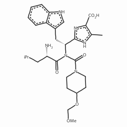 COCOC1CCN(C(=O)N(C(=O)[C@@H](N)CC(C)C)[C@H](Cc2c[nH]c3ccccc23)c2nc(C(=O)O)c(C)[nH]2)CC1